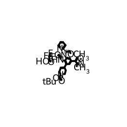 Cc1noc(C)c1-c1cc(C2=CCN(C(=O)OC(C)(C)C)CC2)c2[nH]c(=O)n3c2c1OC[C@@H]3c1ccccn1.O=C(O)C(F)(F)F